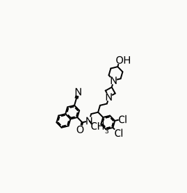 CN(CC(CCN1CC(N2CCC(O)CC2)C1)c1ccc(Cl)c(Cl)c1)C(=O)c1cc(C#N)cc2ccccc12